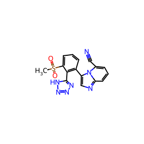 CS(=O)(=O)c1cccc(-c2cnc3cccc(C#N)n23)c1-c1nnn[nH]1